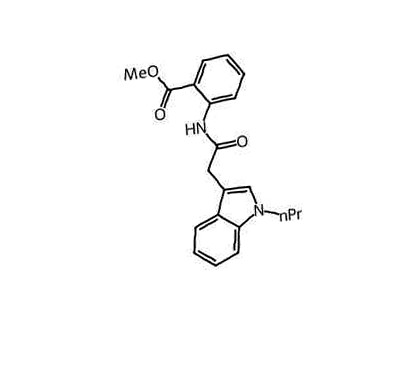 CCCn1cc(CC(=O)Nc2ccccc2C(=O)OC)c2ccccc21